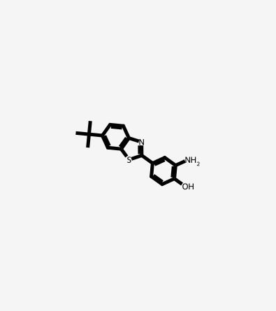 CC(C)(C)c1ccc2nc(-c3ccc(O)c(N)c3)sc2c1